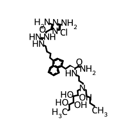 CCCCCCN(CCCN[C@@H](CCc1ccc(CCCCNC(=N)NC(=O)c2nc(Cl)c(N)nc2N)c2ccccc12)C(N)=O)C[C@H](O)[C@@H](O)[C@H](O)[C@H](O)CC